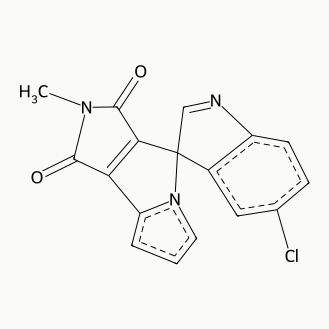 CN1C(=O)C2=C(C1=O)C1(C=Nc3ccc(Cl)cc31)n1cccc12